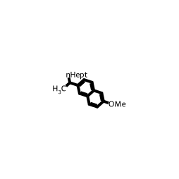 CCCCCCCC(C)c1ccc2cc(OC)ccc2c1